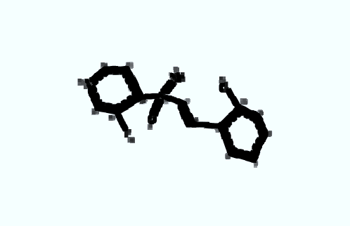 N=S(=O)(/C=C/c1ccccc1Cl)c1ccncc1F